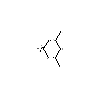 CCCCC.C[SiH2]C